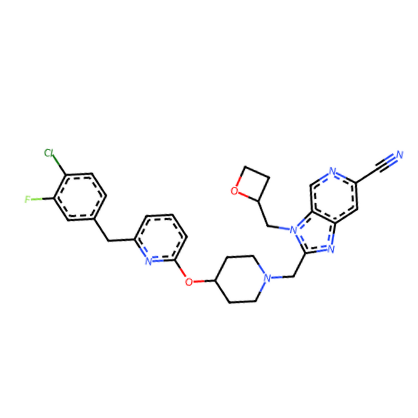 N#Cc1cc2nc(CN3CCC(Oc4cccc(Cc5ccc(Cl)c(F)c5)n4)CC3)n(CC3CCO3)c2cn1